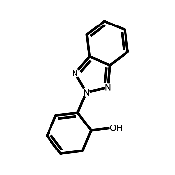 OC1CC=CC=C1n1nc2ccccc2n1